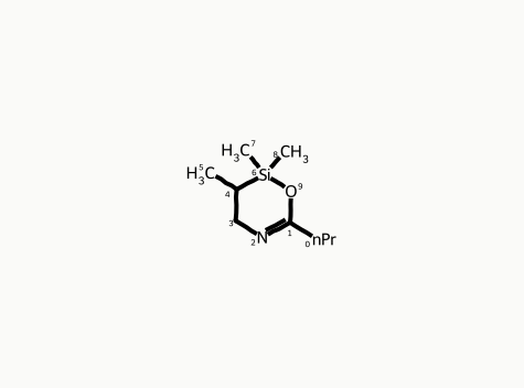 CCCC1=NCC(C)[Si](C)(C)O1